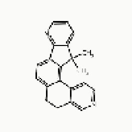 CC1(C)c2cccnc2-c2ccc3c(c21)-c1ccncc1CC3